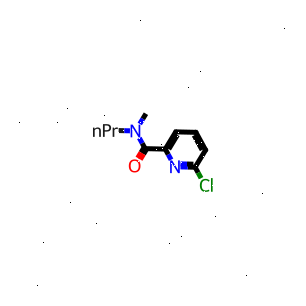 CCCN(C)C(=O)c1cccc(Cl)n1